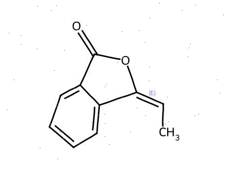 C/C=C1/OC(=O)c2ccccc21